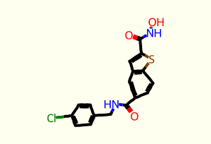 O=C(NCc1ccc(Cl)cc1)c1ccc2sc(C(=O)NO)cc2c1